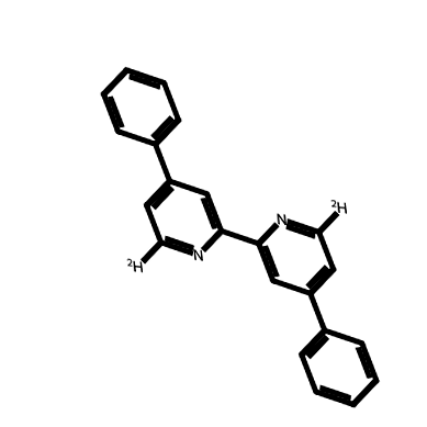 [2H]c1cc(-c2ccccc2)cc(-c2cc(-c3ccccc3)cc([2H])n2)n1